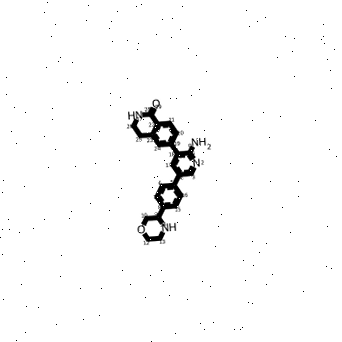 Nc1ncc(-c2ccc(C3COCCN3)cc2)cc1-c1ccc2c(c1)CCNC2=O